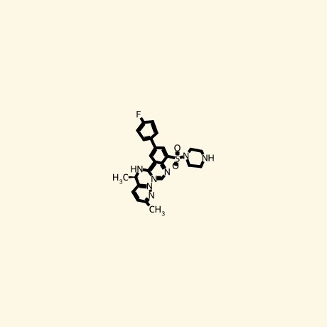 Cc1ccc([C@@H](C)Nc2ncnc3c(S(=O)(=O)N4CCNCC4)cc(-c4ccc(F)cc4)cc23)nn1